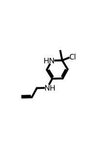 C=CCNC1=CNC(C)(Cl)C=C1